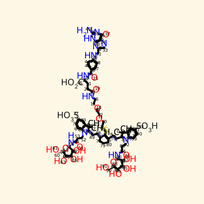 CC1(C)C(/C=C/C2=C(SCCOCCOCCNC(=O)CCC(NC(=O)c3ccc(NCc4cnc5c(=O)nc(N)[nH]c5n4)cc3)C(=O)O)C(=C/C=C3/N(CCC(=O)NC4O[C@@H](CO)[C@H](O)[C@@H](O)[C@H]4O)c4ccc(S(=O)(=O)O)cc4C3(C)C)/CCC2)=[N+](CCC(=O)NC2O[C@H](CO)[C@@H](O)[C@H](O)[C@@H]2O)c2ccc(S(=O)(=O)O)cc21